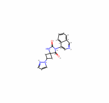 O=C1NC2(CC(n3cccn3)C2)C(=O)N1c1cncc2ccccc12